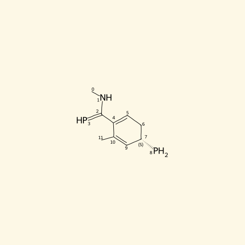 CNC(=P)C1=CC[C@H](P)C=C1C